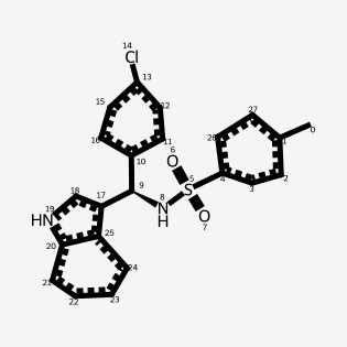 Cc1ccc(S(=O)(=O)N[C@H](c2ccc(Cl)cc2)c2c[nH]c3ccccc23)cc1